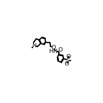 CN1CCc2ccc(CCONC(=O)c3cccc(S(C)(=O)=O)c3)cc2C1